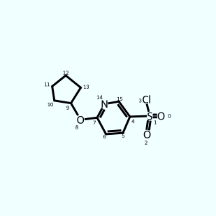 O=S(=O)(Cl)c1ccc(OC2CCCC2)nc1